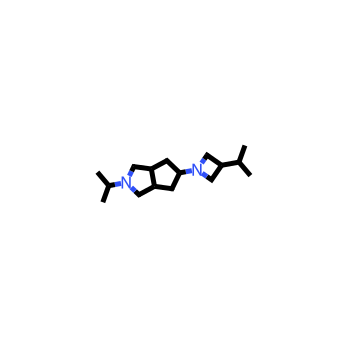 CC(C)C1CN(C2CC3CN(C(C)C)CC3C2)C1